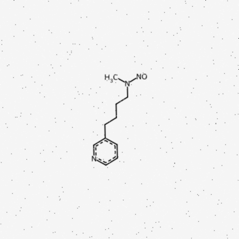 CN(CCC[CH]c1cccnc1)N=O